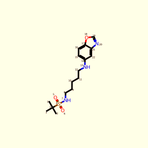 CC(C)(C)S(=O)(=O)NCCCCCNc1ccc2ocnc2c1